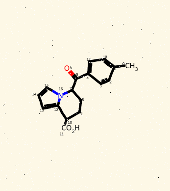 Cc1ccc(C(=O)C2CCC(C(=O)O)c3cccn32)cc1